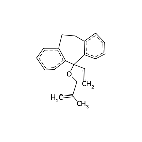 C=CC1(OCC(=C)C)c2ccccc2CCc2ccccc21